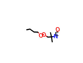 CCCCOOCC(C)(C)N=C=O